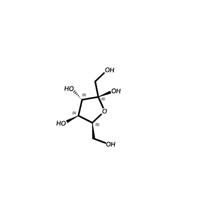 OC[C@@H]1O[C@@](O)(CO)[C@@H](O)[C@@H]1O